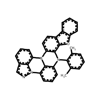 Cc1cccc(C)c1N1c2cccc3c2B(c2ccc4c(oc5ccccc54)c21)c1cccc2cnn-3c12